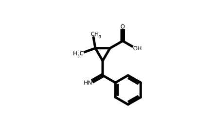 CC1(C)C(C(=N)c2ccccc2)C1C(=O)O